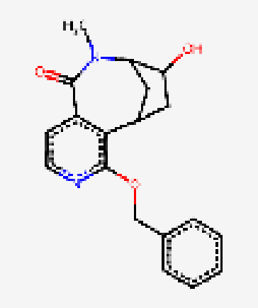 CN1C(=O)c2ccnc(OCc3ccccc3)c2C2CC(O)C1C2